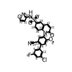 COc1cc(-c2cc(F)cc(Cl)c2)c(C#N)cc1-n1c(=O)ccc2cc(S(=O)(=O)Nc3ccon3)ccc21